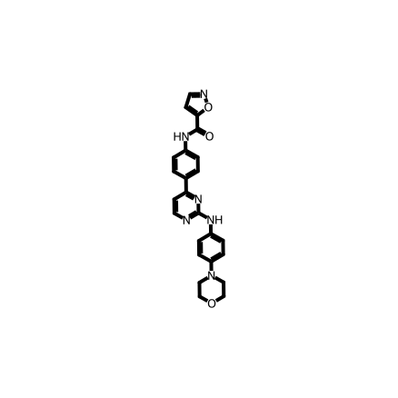 O=C(Nc1ccc(-c2ccnc(Nc3ccc(N4CCOCC4)cc3)n2)cc1)c1ccno1